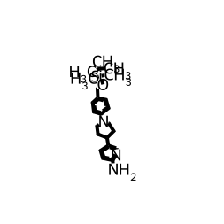 CC(C)(C)[Si](C)(C)OCc1ccc(N2CCC(c3ccc(N)nc3)CC2)cc1